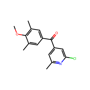 COc1c(C)cc(C(=O)c2cc(C)nc(Cl)c2)cc1C